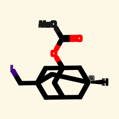 COC(=O)OC12CC3C[C@@H](CC(CI)(C3)C1)C2